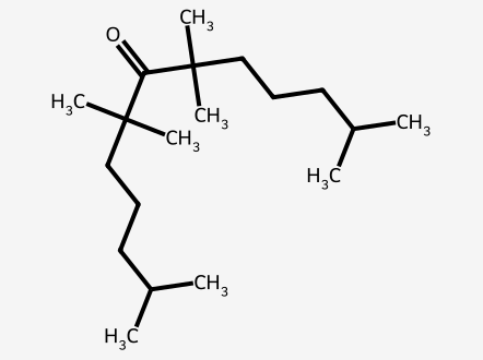 CC(C)CCCC(C)(C)C(=O)C(C)(C)CCCC(C)C